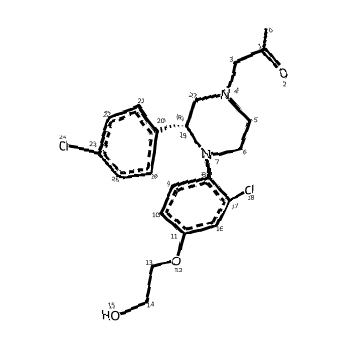 CC(=O)CN1CCN(c2ccc(OCCO)cc2Cl)[C@H](c2ccc(Cl)cc2)C1